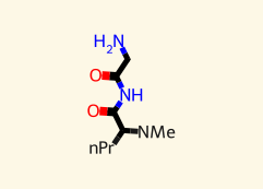 CCCC(NC)C(=O)NC(=O)CN